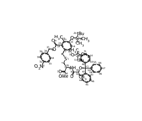 COC(=O)[C@@H](CSCc1c(O[Si](C)(C)C(C)(C)C)cc(O[Si](C)(C)C(C)(C)C)c(C)c1C(=O)OCc1ccc([N+](=O)[O-])cc1)NC(=O)[C@H](C)OC(c1ccccc1)(c1ccccc1)c1ccccc1